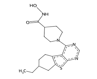 CCC1CCc2c(sc3ncnc(N4CCC(C(=O)NO)CC4)c23)C1